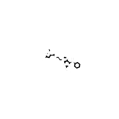 CCn1nc(C)cc1C(=O)NCCn1cnc2c(Nc3ccccc3)nc(N)nc21